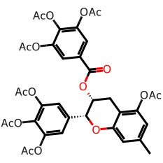 CC(=O)Oc1cc(C)cc2c1C[C@@H](OC(=O)c1cc(OC(C)=O)c(OC(C)=O)c(OC(C)=O)c1)[C@@H](c1cc(OC(C)=O)c(OC(C)=O)c(OC(C)=O)c1)O2